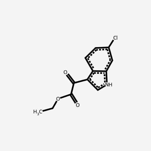 CCOC(=O)C(=O)c1c[nH]c2cc(Cl)ccc12